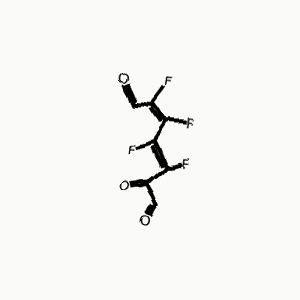 O=CC(=O)/C(F)=C(F)/C(F)=C(/F)C=O